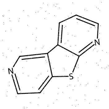 c1cnc2sc3ccncc3c2c1